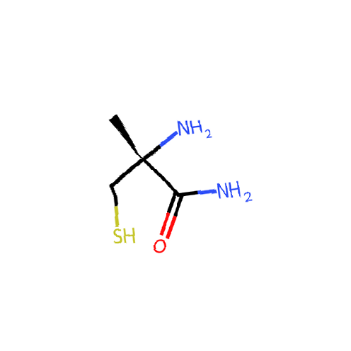 C[C@](N)(CS)C(N)=O